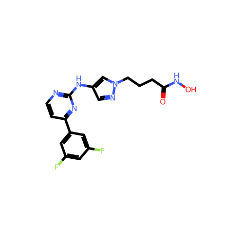 O=C(CCCn1cc(Nc2nccc(-c3cc(F)cc(F)c3)n2)cn1)NO